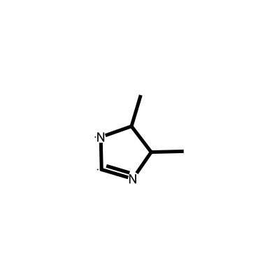 CC1[N][C]=NC1C